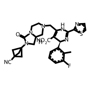 Cc1c(F)cccc1[C@@H]1N=C(c2nccs2)NC(CN2CCN3C(=O)N(C45CC(C#N)(C4)C5)C[C@@H]3C2)=C1C(=O)O